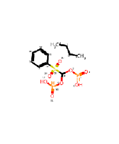 CCCC.O=[PH](O)OC(O[PH](=O)O)S(=O)(=O)c1ccccc1